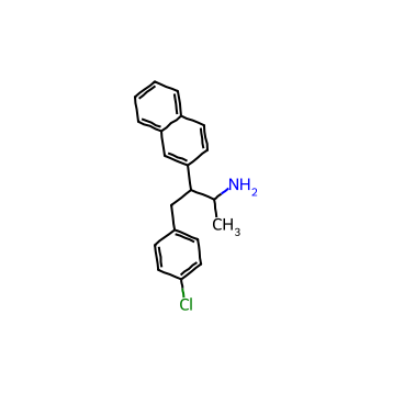 CC(N)C(Cc1ccc(Cl)cc1)c1ccc2ccccc2c1